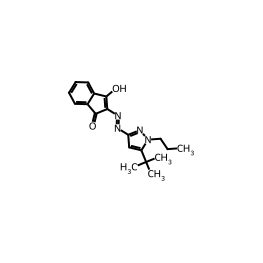 CCCn1nc(N=NC2=C(O)c3ccccc3C2=O)cc1C(C)(C)C